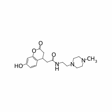 CN1CCN(CCNC(=O)CC2CC(=O)Oc3cc(O)ccc32)CC1